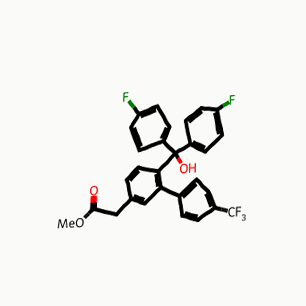 COC(=O)Cc1ccc(C(O)(c2ccc(F)cc2)c2ccc(F)cc2)c(-c2ccc(C(F)(F)F)cc2)c1